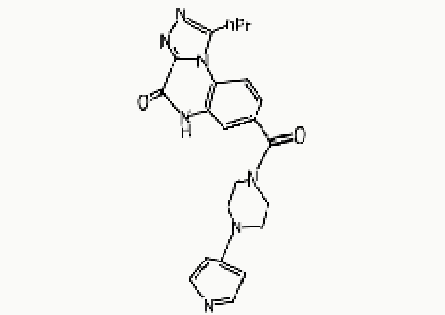 CCCc1nnc2c(=O)[nH]c3cc(C(=O)N4CCN(c5ccncc5)CC4)ccc3n12